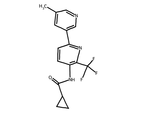 Cc1cncc(-c2ccc(NC(=O)C3CC3)c(C(F)(F)F)n2)c1